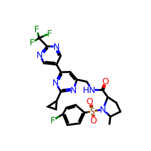 CC1CCC(C(=O)NCc2cc(-c3cnc(C(F)(F)F)nc3)nc(C3CC3)n2)N1S(=O)(=O)c1ccc(F)cc1